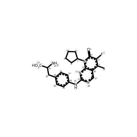 Cc1c(F)c(=O)n(C2CCCC2)c2nc(Nc3ccc(CC(N)C(=O)O)cc3)ncc12